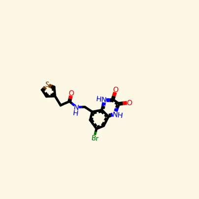 O=C(Cc1ccsc1)NCc1cc(Br)cc2[nH]c(=O)c(=O)[nH]c12